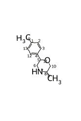 Cc1ccc(C2CN[C@H](C)CO2)cc1